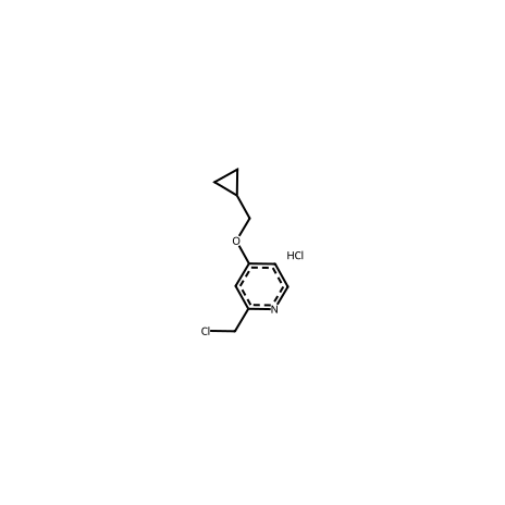 Cl.ClCc1cc(OCC2CC2)ccn1